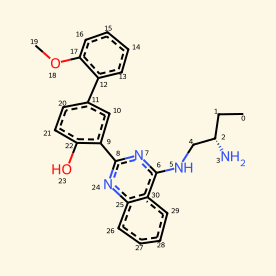 CC[C@H](N)CNc1nc(-c2cc(-c3ccccc3OC)ccc2O)nc2ccccc12